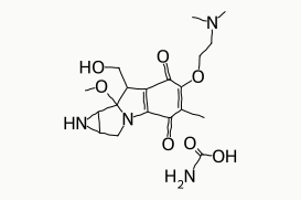 COC12C(CO)C3=C(C(=O)C(C)=C(OCCN(C)C)C3=O)N1CC1NC12.NC(=O)O